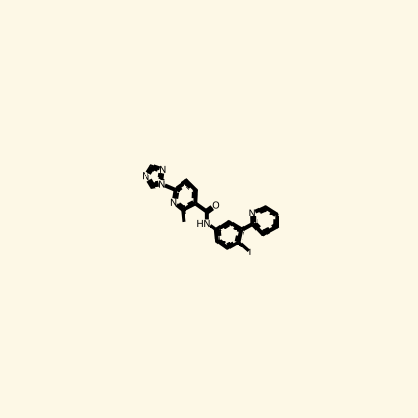 Cc1nc(-n2cncn2)ccc1C(=O)Nc1ccc(I)c(-c2ccccn2)c1